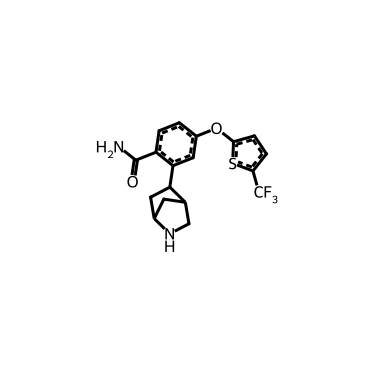 NC(=O)c1ccc(Oc2ccc(C(F)(F)F)s2)cc1C1CC2CC1CN2